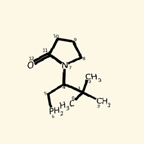 CC(C)(C)C(CP)N1CCCC1=O